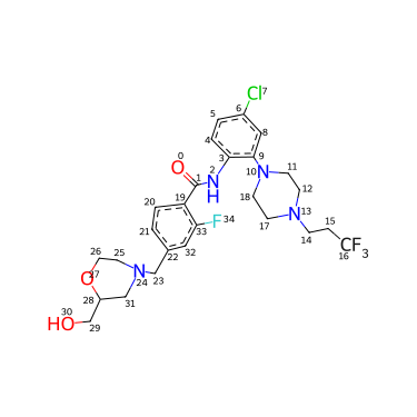 O=C(Nc1ccc(Cl)cc1N1CCN(CCC(F)(F)F)CC1)c1ccc(CN2CCOC(CO)C2)cc1F